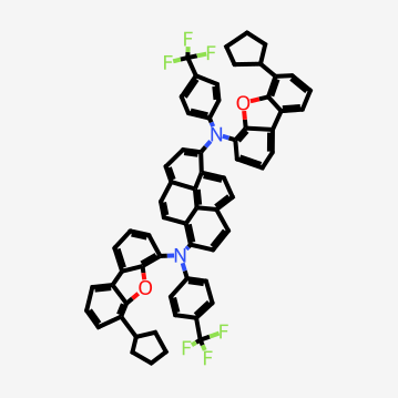 FC(F)(F)c1ccc(N(c2ccc3ccc4c(N(c5ccc(C(F)(F)F)cc5)c5cccc6c5oc5c(C7CCCC7)cccc56)ccc5ccc2c3c54)c2cccc3c2oc2c(C4CCCC4)cccc23)cc1